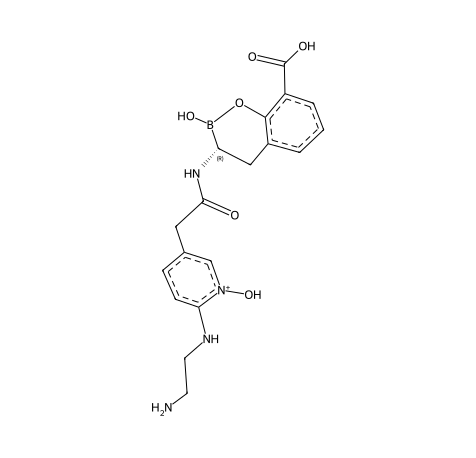 NCCNc1ccc(CC(=O)N[C@H]2Cc3cccc(C(=O)O)c3OB2O)c[n+]1O